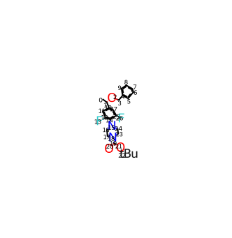 CC(OCc1ccccc1)c1cc(F)c(N2CCN(C(=O)OC(C)(C)C)CC2)c(F)c1